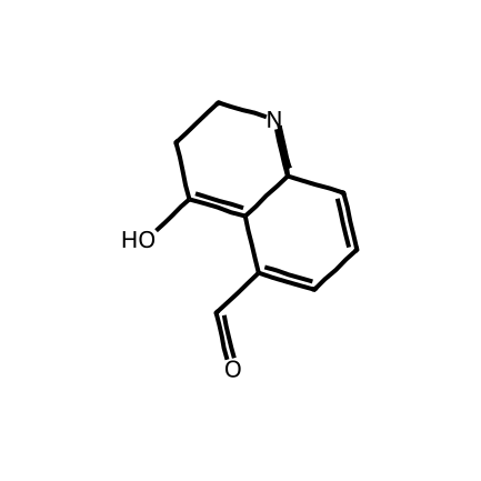 O=CC1=CC=CC23CCCCN2CCC(O)=C13